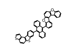 c1ccc2c(c1)oc1ccc3oc4c(-c5c6ccccc6c(-c6ccc7c(c6)sc6ccc8sccc8c67)c6ccccc56)cccc4c3c12